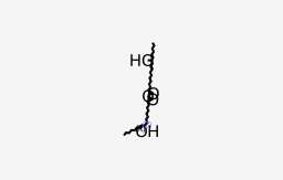 CCCCCCC(O)CC=CCCCCCCCC(=O)OC(=O)CCCCCCC/C=C\C[C@H](O)CCCCCC